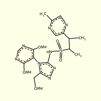 COCc1nnc(NS(=O)(=O)C(C)C(C)c2cnc(C)cn2)n1-c1c(OC)ncnc1OC